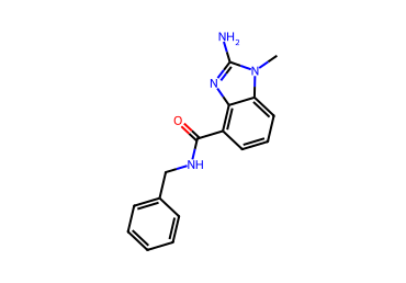 Cn1c(N)nc2c(C(=O)NCc3ccccc3)cccc21